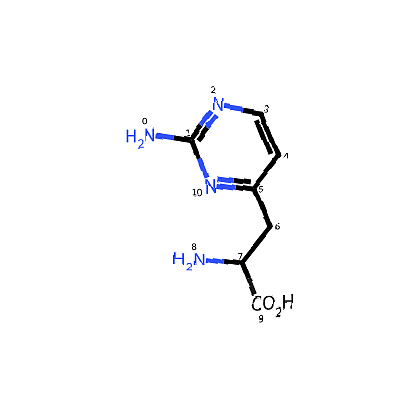 Nc1nccc(CC(N)C(=O)O)n1